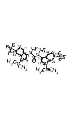 CC(C)n1cc(C(CF)C(=O)C(CF)c2cn(C(C)C)c3cc(C(F)(F)F)ccc23)c2ccc(C(F)(F)F)cc21